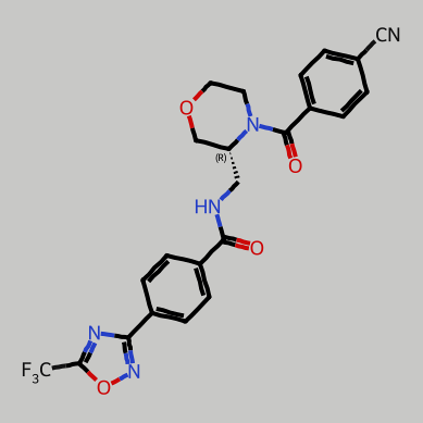 N#Cc1ccc(C(=O)N2CCOC[C@H]2CNC(=O)c2ccc(-c3noc(C(F)(F)F)n3)cc2)cc1